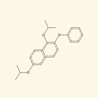 CC(C)Oc1ccc2c(OC(C)C)c(Oc3ccccc3)ccc2c1